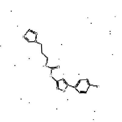 O=C(NCCCn1cncn1)Oc1cc(-c2ccc(Cl)cc2)on1